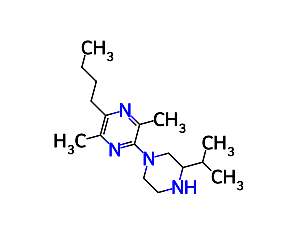 CCCCc1nc(C)c(N2CCNC(C(C)C)C2)nc1C